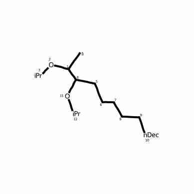 [CH2]C(OC(C)C)C(CCCCCCCCCCCCCCC)OC(C)C